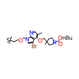 CCCCOC(=O)N1CCC(C)(COc2c(C)cnc3c2c(Br)cn3COCC[Si](C)(C)C)CC1